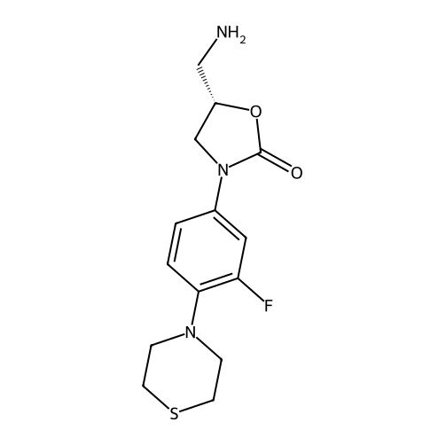 NC[C@H]1CN(c2ccc(N3CCSCC3)c(F)c2)C(=O)O1